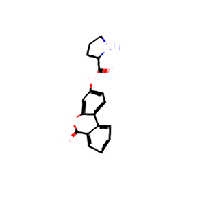 O=C(Oc1ccc2c(c1)oc(=O)c1ccccc12)C1CCCN1